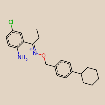 CC/C(=N\OCc1ccc(C2CCCCC2)cc1)c1cc(Cl)ccc1N